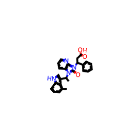 Cc1cccc2[nH]cc(C(C)n3c(=O)n(C(CC(=O)O)c4ccccc4)c4ncccc43)c12